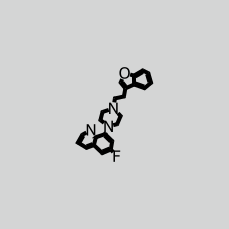 Fc1cc(N2CCN(CCc3coc4ccccc34)CC2)c2ncccc2c1